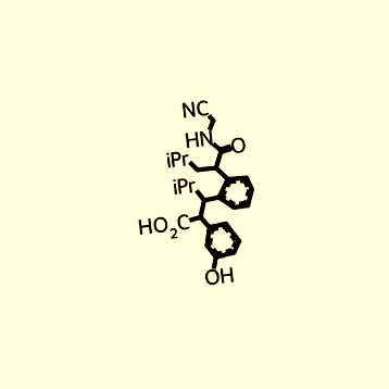 CC(C)CC(C(=O)NCC#N)c1ccccc1C(C(C)C)C(C(=O)O)c1cccc(O)c1